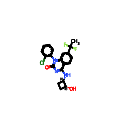 CC(F)(F)c1ccc2c(N[C@@H]3CC[C@H]3O)nc(=O)n(-c3ccccc3Cl)c2c1